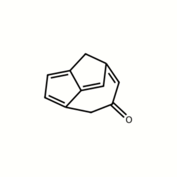 O=C1C=C2C=C3C(=CC=C3C2)C1